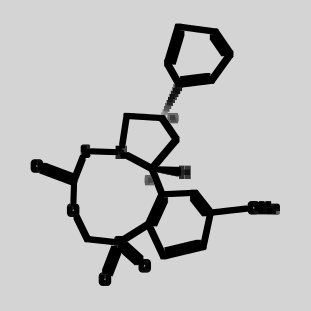 COc1ccc2c(c1)[C@H]1C[C@@H](c3ccccc3)CN1SC(=O)OCS2(=O)=O